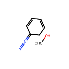 O=CO.[N-]=[N+]=C1C=CC=CC1